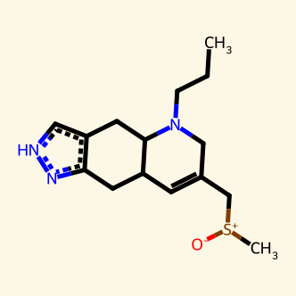 CCCN1CC(C[S+](C)[O-])=CC2Cc3n[nH]cc3CC21